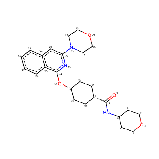 O=C(NC1CCOCC1)[C@H]1CC[C@@H](Oc2nc(N3CCOCC3)cc3ccccc23)CC1